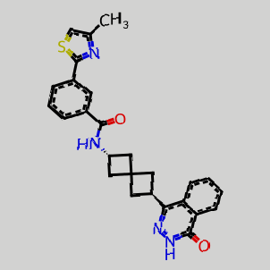 Cc1csc(-c2cccc(C(=O)N[C@H]3CC4(C3)C[C@H](c3n[nH]c(=O)c5ccccc53)C4)c2)n1